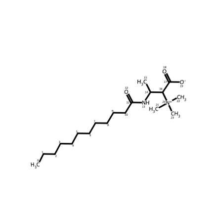 CCCCCCCCCCCC(=O)NC(C)C(C(=O)[O-])[N+](C)(C)C